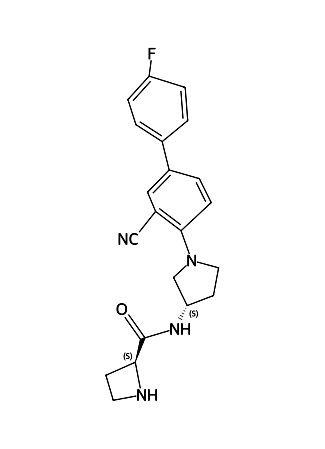 N#Cc1cc(-c2ccc(F)cc2)ccc1N1CC[C@H](NC(=O)[C@@H]2CCN2)C1